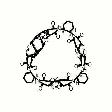 O=C1c2ccc3c4ccc5c6c7ccc(c8ccc(c2c38)C(=O)N1C1CCCC[C@@H]1N1C(=O)c2ccc3c8c(ccc(c28)C1=O)C(=O)N(C3=O)[C@H]1CCCC[C@@H]1N1C(=O)c2ccc3c8c(ccc(c28)C1=O)C(=O)N(C3=O)[C@H]1CCCC[C@@H]1N(C5=O)C7=O)c64